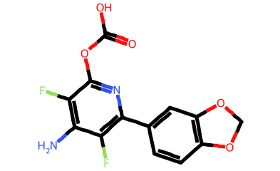 Nc1c(F)c(OC(=O)O)nc(-c2ccc3c(c2)OCO3)c1F